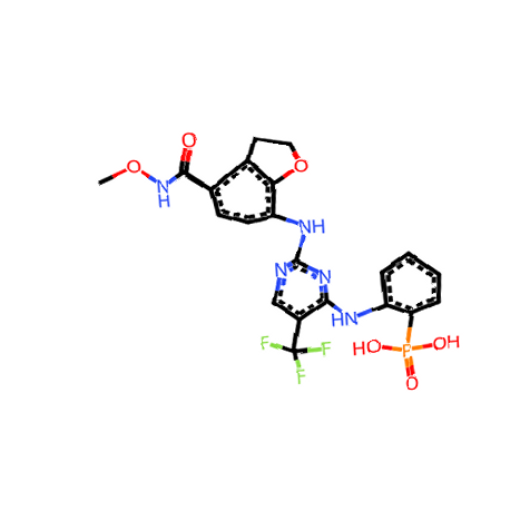 CONC(=O)c1ccc(Nc2ncc(C(F)(F)F)c(Nc3ccccc3P(=O)(O)O)n2)c2c1CCO2